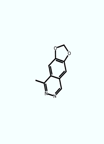 Cc1nncc2cc3c(cc12)OCO3